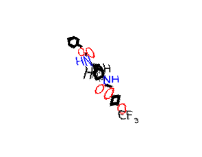 O=C(CO[C@H]1C[C@@H](OC(F)(F)F)C1)N[C@H]1C[C@H]2C[C@@H]1C[C@@H]2NC(=O)OCc1ccccc1